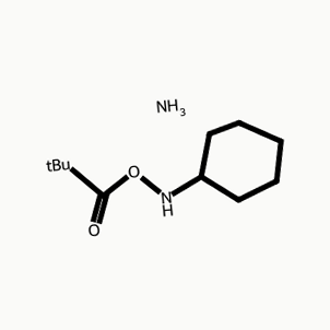 CC(C)(C)C(=O)ONC1CCCCC1.N